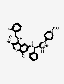 C[C@@H](Nc1c(C#N)cnc2c(Cl)cc(N[C@H](C3=CN(C4CCN(C(C)(C)C)CC4)NN3)c3ccccc3)cc12)c1ccccc1F